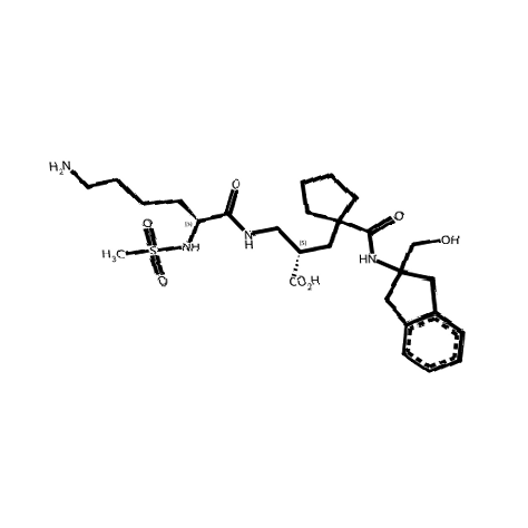 CS(=O)(=O)N[C@@H](CCCCN)C(=O)NC[C@H](CC1(C(=O)NC2(CO)Cc3ccccc3C2)CCCC1)C(=O)O